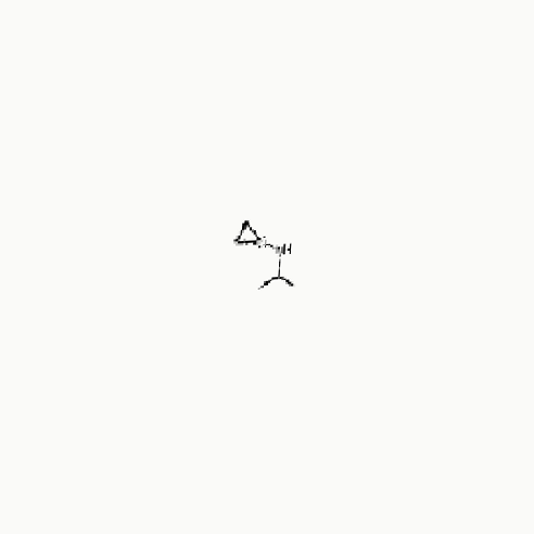 CC(C)NN1CC1